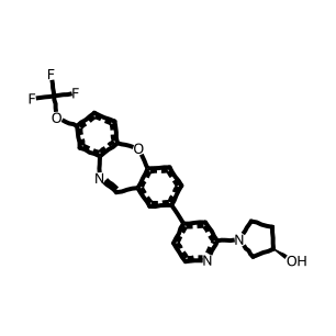 O[C@@H]1CCN(c2cc(-c3ccc4c(c3)C=Nc3cc(OC(F)(F)F)ccc3O4)ccn2)C1